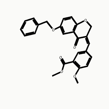 COC(=O)c1cc(/C=C2/COc3ccc(OCc4ccccc4)cc3C2=O)ccc1OC